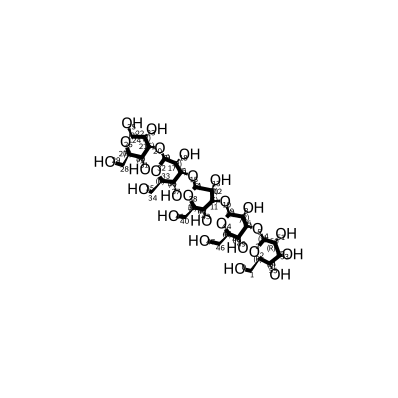 OC[C@H]1O[C@@H](O[C@@H]2[C@@H](O)[C@H](O[C@@H]3[C@@H](O)[C@H](O[C@@H]4[C@@H](O)[C@H](O[C@@H]5[C@@H](O)[C@H](O)O[C@H](CO)[C@H]5O)O[C@H](CO)[C@H]4O)O[C@H](CO)[C@H]3O)O[C@H](CO)[C@H]2O)[C@H](O)[C@@H](O)[C@@H]1O